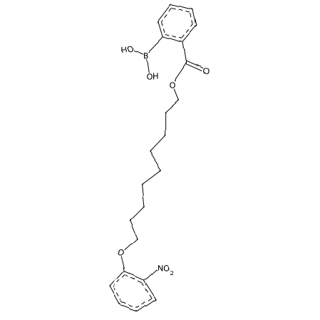 O=C(OCCCCCCCCCOc1ccccc1[N+](=O)[O-])c1ccccc1B(O)O